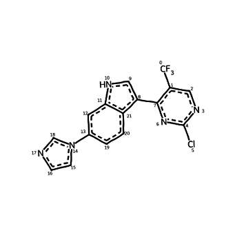 FC(F)(F)c1cnc(Cl)nc1-c1c[nH]c2cc(-n3ccnc3)ccc12